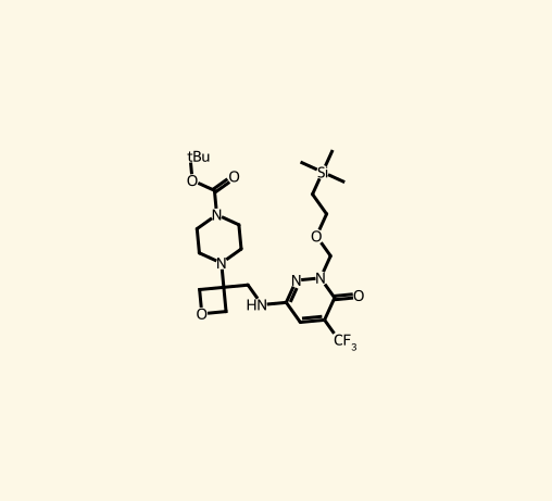 CC(C)(C)OC(=O)N1CCN(C2(CNc3cc(C(F)(F)F)c(=O)n(COCC[Si](C)(C)C)n3)COC2)CC1